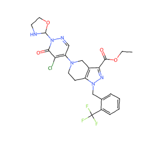 CCOC(=O)c1nn(Cc2ccccc2C(F)(F)F)c2c1CN(c1cnn(C3NCCO3)c(=O)c1Cl)CC2